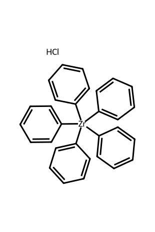 Cl.c1cc[c]([Zr]([c]2ccccc2)([c]2ccccc2)([c]2ccccc2)[c]2ccccc2)cc1